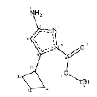 CC(C)(C)OC(=O)n1nc(N)cc1C1CCC1